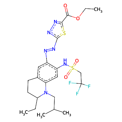 CCOC(=O)c1nnc(N=Nc2cc3c(cc2NS(=O)(=O)CC(F)(F)F)N(CC(C)C)C(CC)CC3)s1